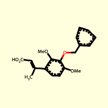 COc1ccc(/C(C)=C/C(=O)O)c(OC)c1OCc1ccccc1